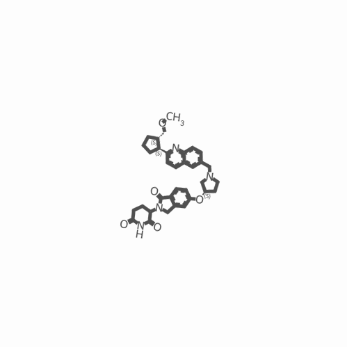 COC[C@H]1CCC[C@@H]1c1ccc2cc(CN3CC[C@H](Oc4ccc5c(c4)CN(C4CCC(=O)NC4=O)C5=O)C3)ccc2n1